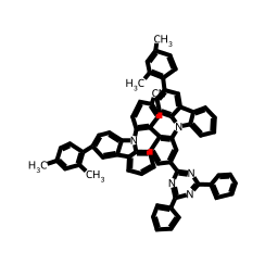 Cc1ccc(-c2ccc3c(c2)c2ccccc2n3-c2ccc(C#N)cc2-c2ccc(-c3nc(-c4ccccc4)nc(-c4ccccc4)n3)cc2-n2c3ccccc3c3cc(-c4ccc(C)cc4C)ccc32)c(C)c1